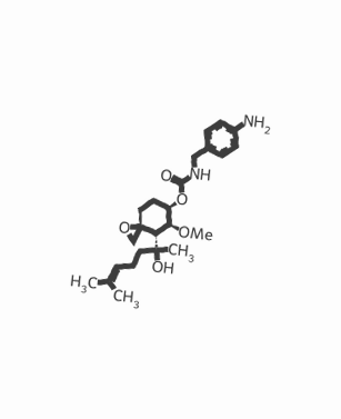 CO[C@H]1[C@H](C(C)(O)CCC=C(C)C)[C@]2(CC[C@H]1OC(=O)NCc1ccc(N)cc1)CO2